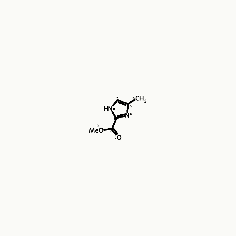 COC(=O)c1nc(C)c[nH]1